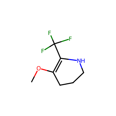 COC1=C(C(F)(F)F)NCCC1